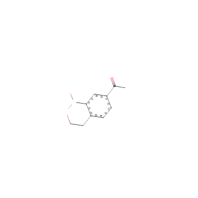 CC(C)(C)C(=O)c1ccc2c(c1)B(O)OCC2